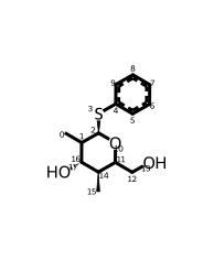 CC1[C@@H](Sc2ccccc2)OC(CO)[C@@H](C)[C@@H]1O